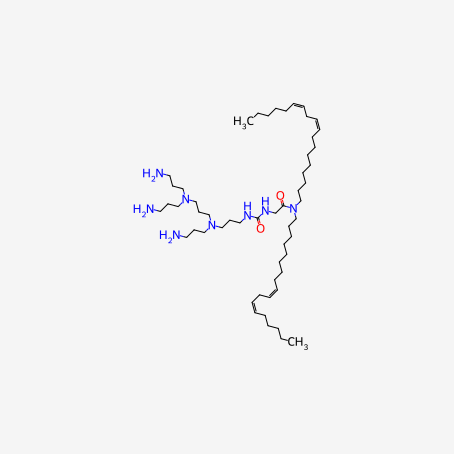 CCCCC/C=C\C/C=C\CCCCCCCCN(CCCCCCCC/C=C\C/C=C\CCCCC)C(=O)CNC(=O)NCCCN(CCCN)CCCN(CCCN)CCCN